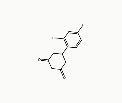 O=C1CC(=O)CC(c2ccc(F)cc2Cl)C1